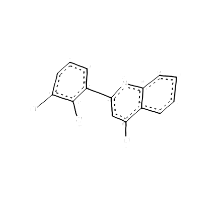 Clc1cccc(-c2cc(Cl)c3ccccc3n2)c1Cl